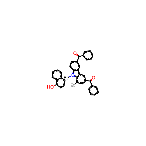 CCc1cc(C(=O)c2ccccc2)cc2c3cc(C(=O)c4ccccc4)ccc3n(CC)c12.Oc1cccc2ccccc12